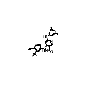 Cc1cc(Nc2cc3c(cn2)c(=O)[nH]n3-c2ccc(C#N)c(C(F)(F)F)c2)nc(C)n1